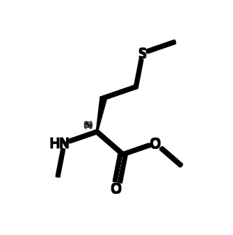 CN[C@@H](CCSC)C(=O)OC